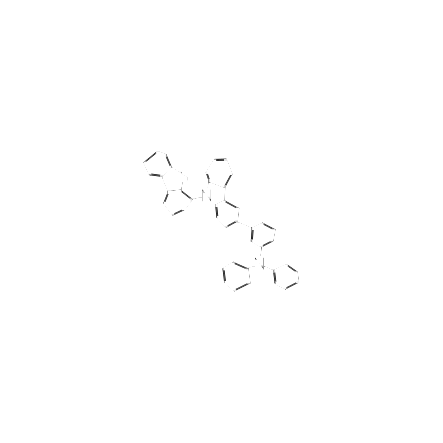 c1ccc(N(c2ccccc2)c2cccc(-c3ccc4c(c3)c3ccccc3n4-c3cccc4c3sc3ccccc34)c2)cc1